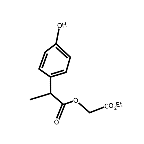 CCOC(=O)COC(=O)C(C)c1ccc(O)cc1